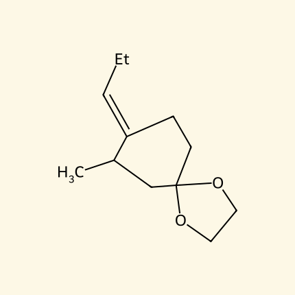 CC/C=C1\CCC2(CC1C)OCCO2